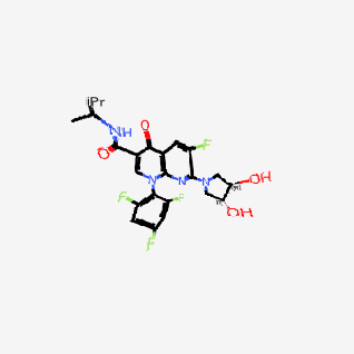 CC(C)C(C)NC(=O)c1cn(-c2c(F)cc(F)cc2F)c2nc(N3C[C@@H](O)[C@H](O)C3)c(F)cc2c1=O